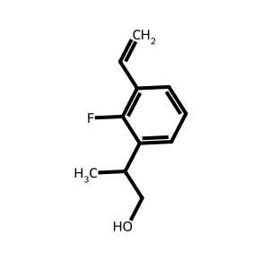 C=Cc1cccc([C](C)CO)c1F